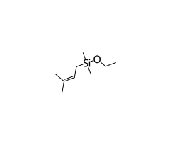 CCO[Si](C)(C)CC=C(C)C